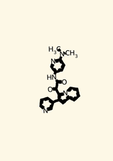 CN(C)c1ccc(NC(=O)C(=O)c2c(-c3cccnc3)cc3ccccn23)cn1